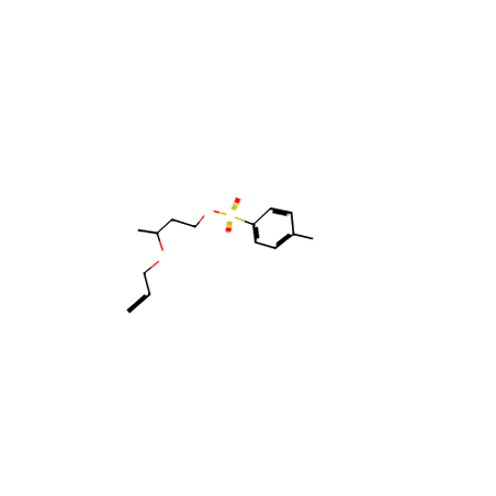 C=CCOC(C)CCOS(=O)(=O)c1ccc(C)cc1